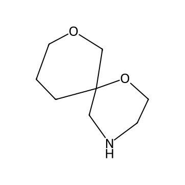 C1COCC2(C1)CNCCO2